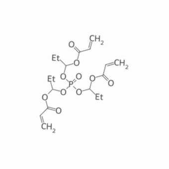 C=CC(=O)OC(CC)OP(=O)(OC(CC)OC(=O)C=C)OC(CC)OC(=O)C=C